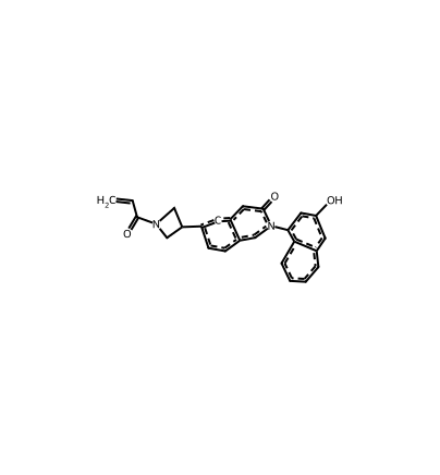 C=CC(=O)N1CC(c2ccc3cn(-c4cc(O)cc5ccccc45)c(=O)cc3c2)C1